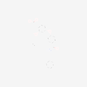 O=C(NCCc1ccccc1)c1ccc(Oc2cc3c(cc2Cl)C(C(=O)[O-])CCO3)cc1.[Na+]